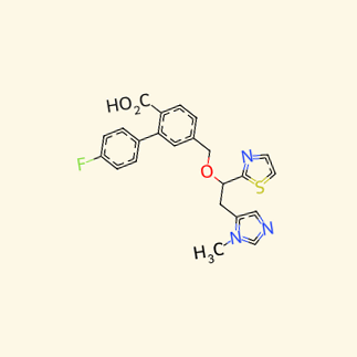 Cn1cncc1CC(OCc1ccc(C(=O)O)c(-c2ccc(F)cc2)c1)c1nccs1